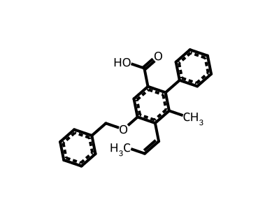 C/C=C\c1c(OCc2ccccc2)cc(C(=O)O)c(-c2ccccc2)c1C